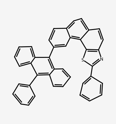 c1ccc(-c2nc3ccc4ccc5ccc(-c6c7ccccc7c(-c7ccccc7)c7ccccc67)cc5c4c3s2)cc1